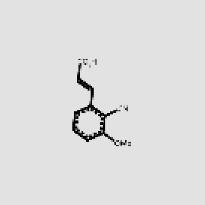 COc1cccc(/C=C/C(=O)O)c1C#N